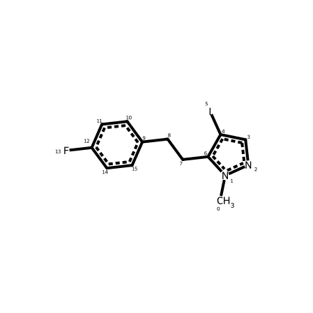 Cn1ncc(I)c1CCc1ccc(F)cc1